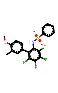 COc1ccc(-c2c(F)c(F)c(F)c(F)c2NS(=O)(=O)c2ccccc2)cc1C